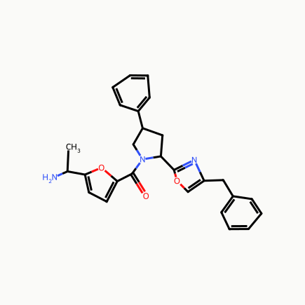 CC(N)c1ccc(C(=O)N2CC(c3ccccc3)CC2c2nc(Cc3ccccc3)co2)o1